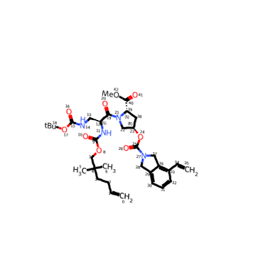 C=CCCC(C)(C)COC(=O)N[C@@H](CNC(=O)OC(C)(C)C)C(=O)N1C[C@H](OC(=O)N2Cc3cccc(C=C)c3C2)C[C@H]1C(=O)OC